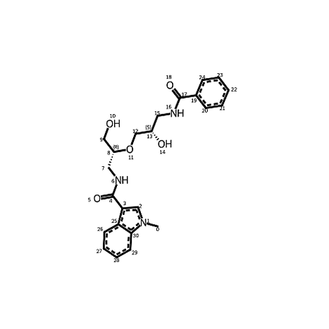 Cn1cc(C(=O)NC[C@H](CO)OC[C@@H](O)CNC(=O)c2ccccc2)c2ccccc21